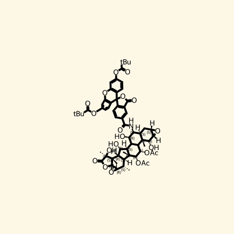 CC(=O)O[C@H]1C2C([C@@H](O)[C@@H](NC(=O)c3ccc4c(c3)C(=O)OC43c4ccc(OC(=O)C(C)(C)C)cc4Oc4cc(OC(=O)C(C)(C)C)ccc43)[C@H]3C[C@@H]4O[C@@H]4[C@H](O)[C@]23C)[C@@H]2[C@@H](O)[C@@H]3[C@H]([C@H](C)[C@H]4O[C@]45OC(=O)[C@@](C)(O)[C@]35C)[C@@]2(C)[C@H]1OC(C)=O